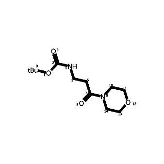 CC(C)(C)OC(=O)NCCC(=O)N1CCOCC1